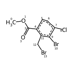 COC(=O)c1ccc(Cl)c(Br)c1CBr